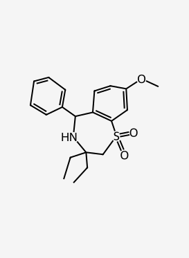 CCC1(CC)CS(=O)(=O)c2cc(OC)ccc2C(c2ccccc2)N1